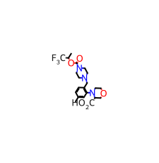 Cc1ccc(CN2CCN(C(=O)OC(C)C(F)(F)F)CC2)c(N2CCOCC2C(=O)O)c1